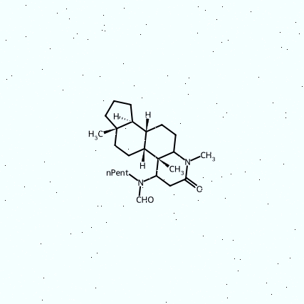 CCCCCN(C=O)C1CC(=O)N(C)C2CC[C@@H]3[C@@H](CC[C@]4(C)CCC[C@@H]34)[C@@]12C